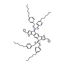 CCCCCCc1ccc(CS/C(Sc2ccc(CCCCCC)cc2)=C2\c3cc4c(cc3-c3sc(C=O)cc32)/C(=C(/SCc2ccc(CCCCCC)cc2)Sc2ccc(CCCCCC)cc2)c2cc(C=O)sc2-4)cc1